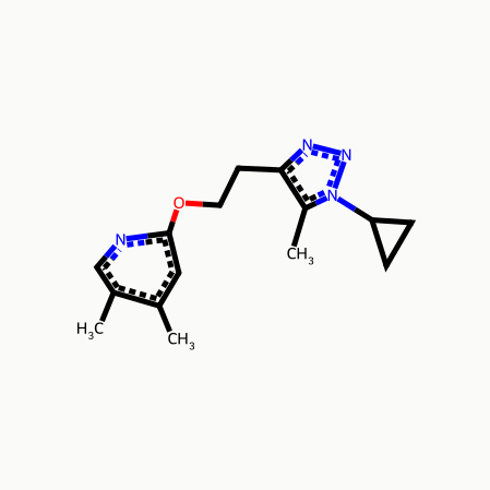 Cc1cnc(OCCc2nnn(C3CC3)c2C)cc1C